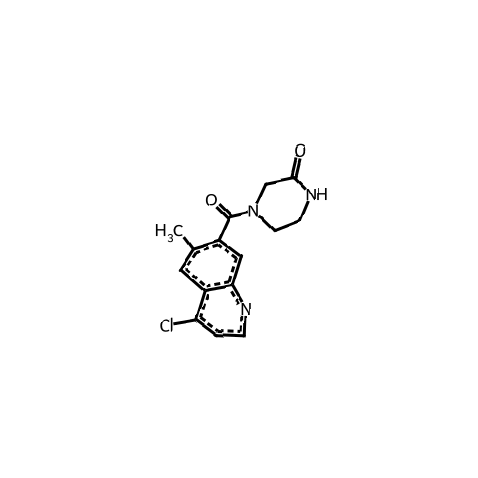 Cc1cc2c(Cl)ccnc2cc1C(=O)N1CCNC(=O)C1